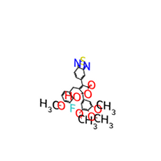 COc1ccc(CC2=C(c3ccc4nsnc4c3)C(=O)OC2(O)c2cc(OC)c(OC)c(OC)c2)cc1F